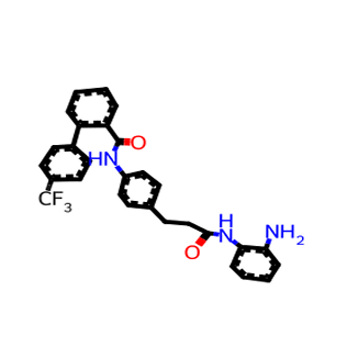 Nc1ccccc1NC(=O)CCc1ccc(NC(=O)c2ccccc2-c2ccc(C(F)(F)F)cc2)cc1